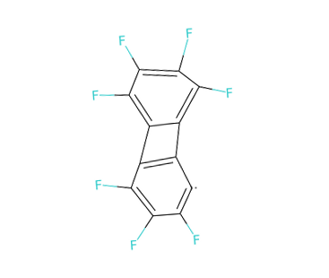 Fc1[c]c2c(c(F)c1F)-c1c(F)c(F)c(F)c(F)c1-2